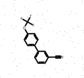 N#Cc1cccc(-c2ccc(OC(F)(F)F)cc2)c1